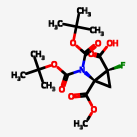 COC(=O)[C@@]1(N(C(=O)OC(C)(C)C)C(=O)OC(C)(C)C)C[C@@]1(F)C(=O)O